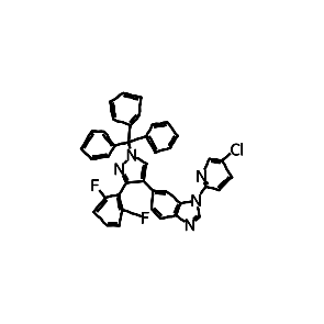 Fc1cccc(F)c1-c1nn(C(c2ccccc2)(c2ccccc2)c2ccccc2)cc1-c1ccc2ncn(-c3ccc(Cl)cn3)c2c1